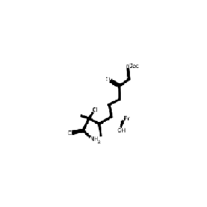 CC(C)O.CCCCCCCCCCCC(=O)CCCC(C)C(C)(Cl)C(N)=O